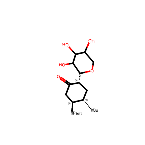 CCCCC[C@H]1CC(=O)[C@H](C2OCC(O)C(O)C2O)C[C@@H]1CCCC